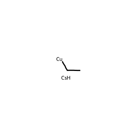 C[CH2][Cu].[CsH]